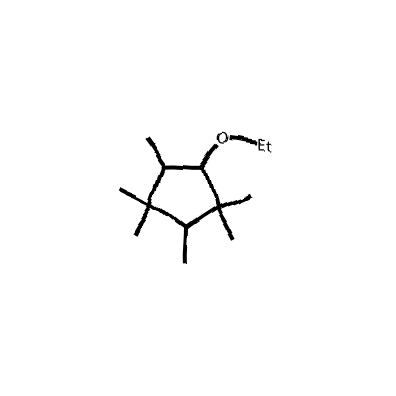 CCOC1C(C)C(C)(C)C(C)C1(C)C